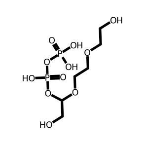 O=P(O)(O)OP(=O)(O)OC(CO)OCCOCCO